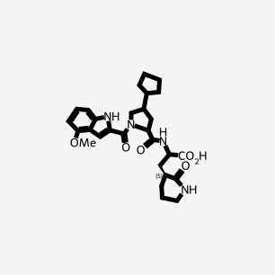 COc1cccc2[nH]c(C(=O)N3CC(C4CCCC4)CC3C(=O)NC(C[C@@H]3CCCNC3=O)C(=O)O)cc12